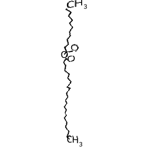 CCCCCCCCCCCCCCCCCCCCCCC(=O)OC([C]=O)CCCCCCCCCCCC